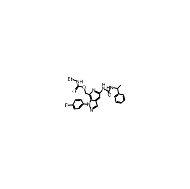 CCNC(=O)OCc1nc(NC(=O)NC(C)c2ccccc2)cc2cnn(-c3ccc(F)cc3)c12